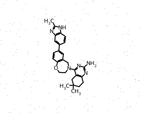 Cc1nc2cc(-c3ccc4c(c3)CN(c3nc(N)nc5c3CC(C)(C)CC5)CCO4)ccc2[nH]1